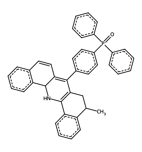 CC1CC2=C(NC3C(=C2c2ccc(P(=O)(c4ccccc4)c4ccccc4)cc2)C=Cc2ccccc23)c2ccccc21